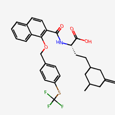 C=C1CC(C)CC(CC[C@H](NC(=O)c2ccc3ccccc3c2OCc2ccc(SC(F)(F)F)cc2)C(=O)O)C1